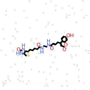 O=C(/C=C/Cc1cc(=O)oc2cc(O)ccc12)NCCNC(=O)CCCCC1SCC2NC(=O)NC21